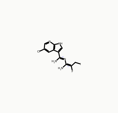 N/C(=N\C(N)=C(\F)CI)c1c[nH]c2ncc(Cl)cc12